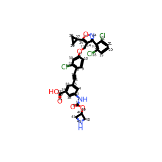 O=C(Nc1cc(C#Cc2ccc(OCc3c(-c4c(Cl)cccc4Cl)noc3C3CC3)cc2Cl)cc(C(=O)O)c1)OC1CNC1